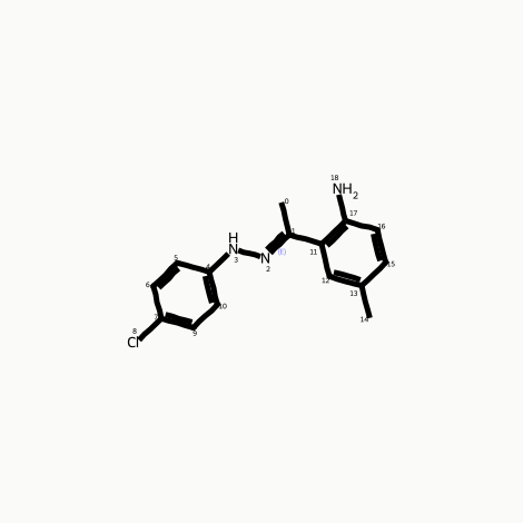 C/C(=N\Nc1ccc(Cl)cc1)c1cc(C)ccc1N